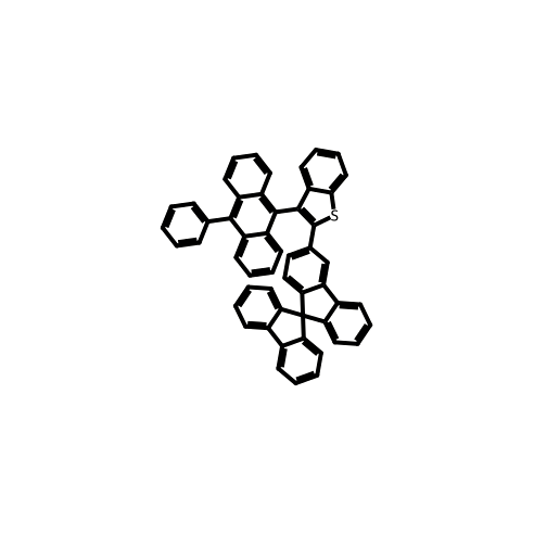 c1ccc(-c2c3ccccc3c(-c3c(-c4ccc5c(c4)-c4ccccc4C54c5ccccc5-c5ccccc54)sc4ccccc34)c3ccccc23)cc1